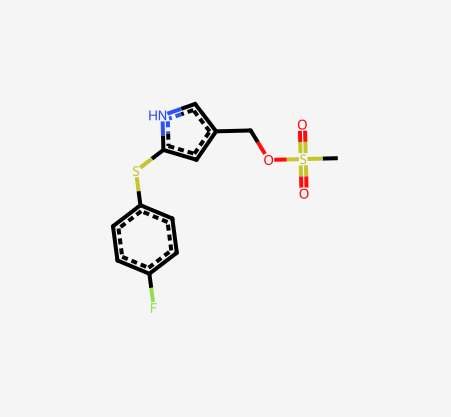 CS(=O)(=O)OCc1c[nH]c(Sc2ccc(F)cc2)c1